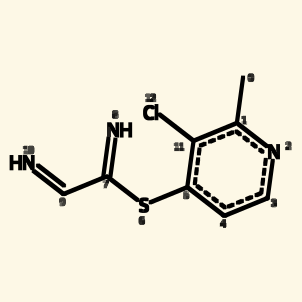 Cc1nccc(SC(=N)C=N)c1Cl